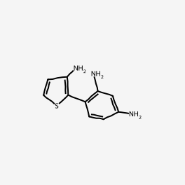 Nc1ccc(-c2sccc2N)c(N)c1